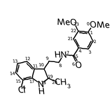 COc1ccc(C(=O)NCCC2c3cccc(Cl)c3NC2C)cc1OC